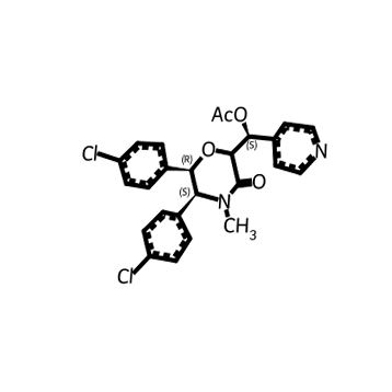 CC(=O)O[C@@H](c1ccncc1)C1O[C@H](c2ccc(Cl)cc2)[C@H](c2ccc(Cl)cc2)N(C)C1=O